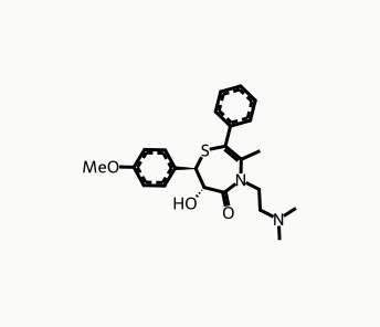 COc1ccc([C@H]2SC(c3ccccc3)=C(C)N(CCN(C)C)C(=O)[C@@H]2O)cc1